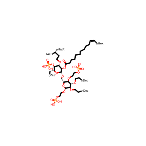 CCCCCC/C=C\CCCCCCCCCC(=O)O[C@H]1[C@H](OC[C@H]2O[C@H](OCCOP(=O)(O)O)[C@H](OCCCCCCCCCCCC)[C@@H](OCCCCCCCCCCCC)[C@@H]2OCCOP(=O)(O)O)O[C@H](COC)[C@@H](OP(=O)(O)O)[C@@H]1OCC[C@H](CCCCCCC)OC